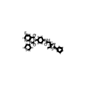 Cc1sc(-c2ccccc2)nc1CC(=O)NC1CCC(n2c(=O)c3cc(F)cnc3n(C3CCSCC3)c2=O)CC1